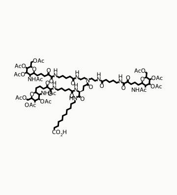 CC(=O)NC1C(CCCC(=O)C(=O)NCCCCC(=O)NCCN(CCNC(=O)CCCCNC(=O)C(=O)CCCC2OC(COC(C)=O)C(OC(C)=O)C(OC(C)=O)C2NC(C)=O)C(=O)CC[C@H](NC(=O)CCCCNC(=O)C(=O)CCCC2OC(COC(C)=O)C(OC(C)=O)C(OC(C)=O)C2NC(C)=O)C(=O)NCCCCCCCCCCC(=O)O)OC(COC(C)=O)C(OC(C)=O)C1OC(C)=O